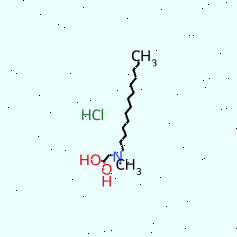 CCCCCCCCCCCCCCN(C)CC(O)O.Cl